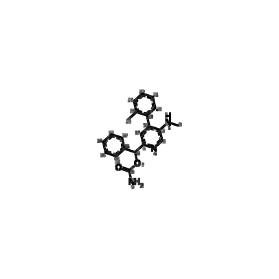 CNc1cnc(C(OC(N)=O)c2ccccc2)cc1-c1ccccc1C